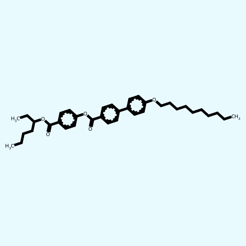 CCCCCCCCCCOc1ccc(-c2ccc(C(=O)Oc3ccc(C(=O)OC(CC)CCCC)cc3)cc2)cc1